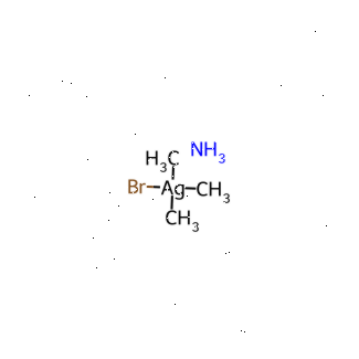 N.[CH3][Ag]([CH3])([CH3])[Br]